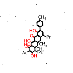 CC(=O)C1=C(O)C(C(C)C)[C@@]2(C)C[C@@]3(C)Cc4c(C(C)C)cc(-c5ccc(C)cc5)c(O)c4C(=O)C3=C(O)[C@@]2(O)C1=O